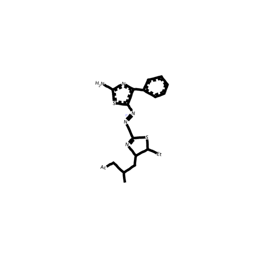 CCC1SC(/N=N/c2sc(N)nc2-c2ccccc2)=NC1CC(C)CC(C)=O